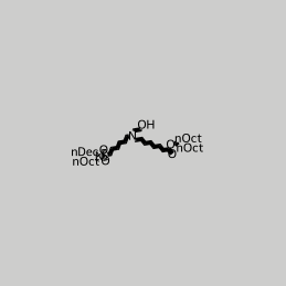 CCCCCCCCCCN(CCCCCCCC)S(=O)(=O)CCCCCCN(CCO)CCCCCCCC(=O)OC(CCCCCCCC)CCCCCCCC